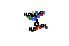 COc1ccc(CNc2nc(-c3ccno3)nc3sc(C)c(Cl)c23)cc1OC